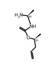 C=CC[C@H](C)OC(=C)N[C@H](C)N